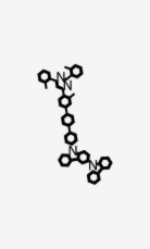 Cc1ccccc1-c1cc(-c2ccc(-c3ccc(-c4ccc(-n5c6ccccc6c6cc(-n7c8ccccc8c8ccccc87)ccc65)cc4)cc3)cc2C)nc(-c2ccccc2C)n1